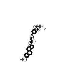 C[C@]12CCC3c4ccc(O)cc4CCC3C1CC[C@@H]2OC(=O)COCc1ccc(S(N)(=O)=O)cc1